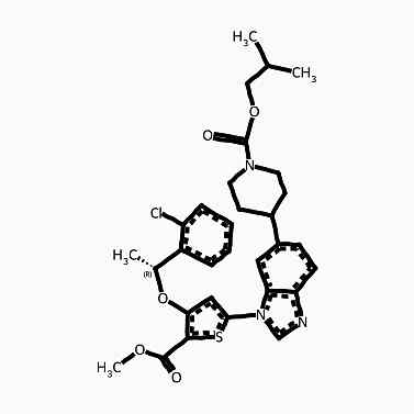 COC(=O)c1sc(-n2cnc3ccc(C4CCN(C(=O)OCC(C)C)CC4)cc32)cc1O[C@H](C)c1ccccc1Cl